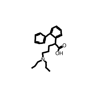 CCCN(CCC)CCCC(C(=O)O)c1ccccc1-c1ccccc1